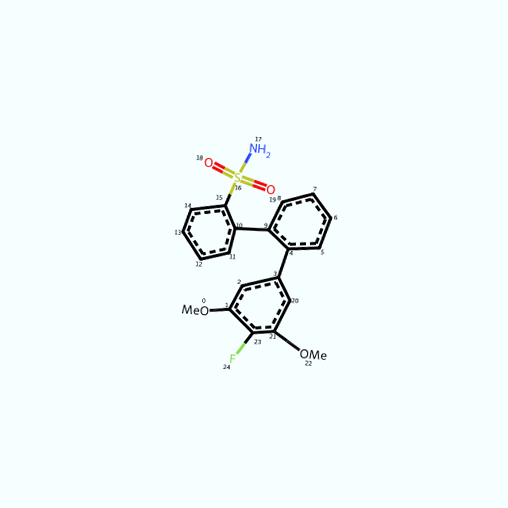 COc1cc(-c2ccccc2-c2ccccc2S(N)(=O)=O)cc(OC)c1F